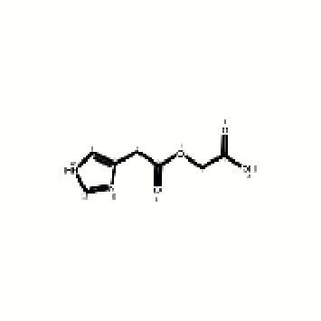 O=C(O)COC(=O)Cc1c[nH]cn1